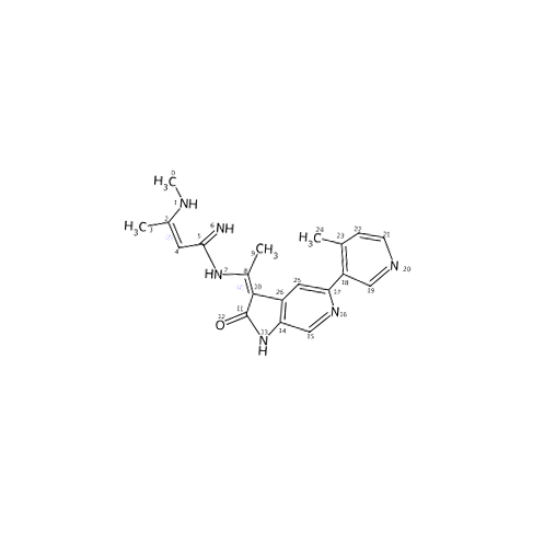 CN/C(C)=C\C(=N)N/C(C)=C1\C(=O)Nc2cnc(-c3cnccc3C)cc21